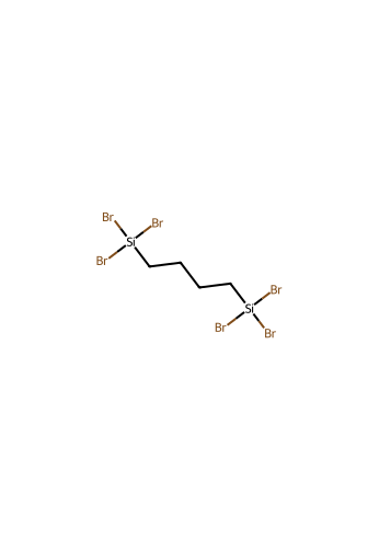 Br[Si](Br)(Br)CCCC[Si](Br)(Br)Br